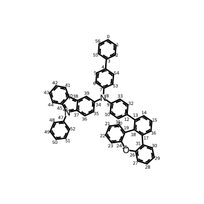 c1ccc(-c2ccc(N(c3ccc(-c4cccc5c4-c4ccccc4Oc4ccccc4-5)cc3)c3ccc4c(c3)c3ccccc3n4-c3ccccc3)cc2)cc1